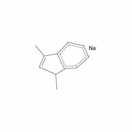 CC1=CC(C)c2ccccc21.[Na]